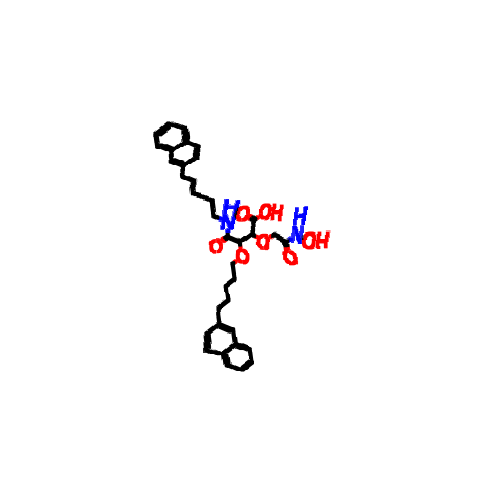 O=C(COC(C(=O)O)C(OCCCCCc1ccc2ccccc2c1)C(=O)NCCCCCc1ccc2ccccc2c1)NO